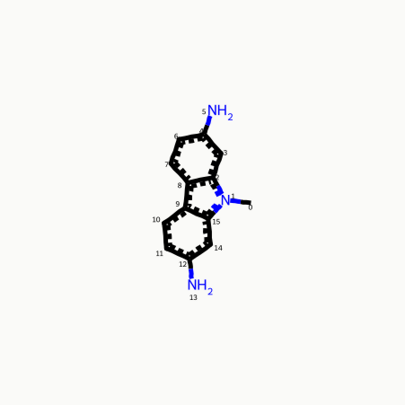 Cn1c2cc(N)ccc2c2ccc(N)cc21